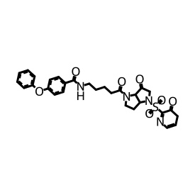 O=C1CC=CN=C1S(=O)(=O)N1CC(=O)C2C1CCN2C(=O)CCCCNC(=O)c1ccc(Oc2ccccc2)cc1